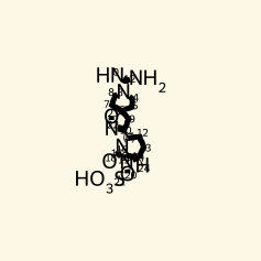 N=C(N)N1CCC2(CC1)CC([C@@H]1CC[C@@H]3CN1C(=O)N3OS(=O)(=O)O)=NO2